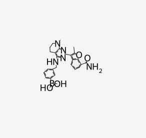 Cc1oc2c(C(N)=O)cccc2c1-c1nc(NCc2cccc(B(O)O)c2)c2c(n1)N(C)CCC2